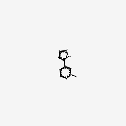 Cc1cccc(-c2ccns2)c1